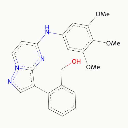 COc1cc(Nc2ccn3ncc(-c4ccccc4CO)c3n2)cc(OC)c1OC